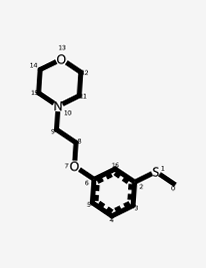 CSc1cccc(OCCN2CCOCC2)c1